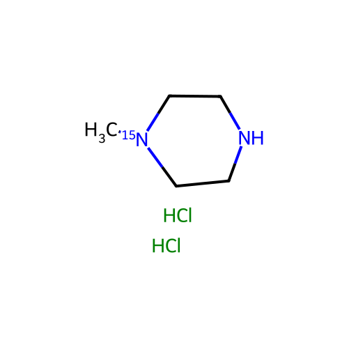 C[15N]1CCNCC1.Cl.Cl